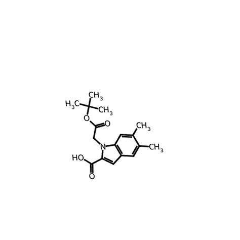 Cc1cc2cc(C(=O)O)n(CC(=O)OC(C)(C)C)c2cc1C